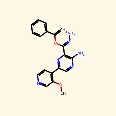 C=C(O/C(=N\N)c1nc(-c2ccncc2OC)cnc1N)c1ccccc1